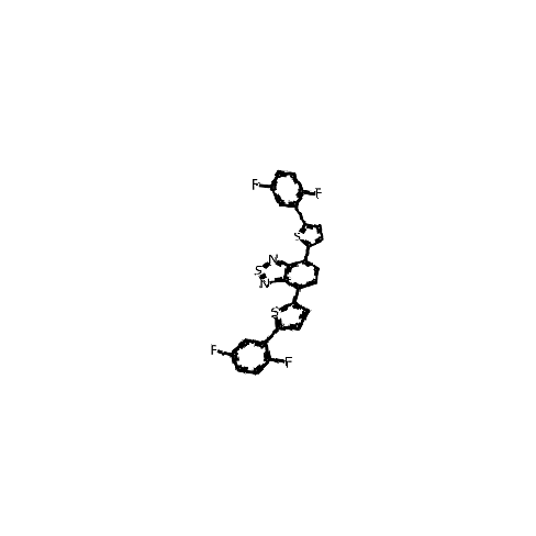 Fc1ccc(F)c(-c2ccc(-c3ccc(-c4ccc(-c5cc(F)ccc5F)s4)c4nsnc34)s2)c1